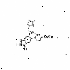 COc1ccc(-c2cn3c(=O)[nH]nc3cc2OCc2csc(C)n2)c(F)c1